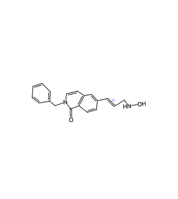 O=c1c2ccc(/C=C/CNO)cc2ccn1Cc1ccccc1